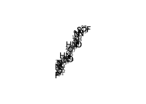 CN(c1nc2cc(F)ccc2s1)C1CCN(C(=O)NCc2cccc(CNC(=O)N3CCC(N(C)c4nc5cc(F)ccc5s4)CC3)c2)CC1